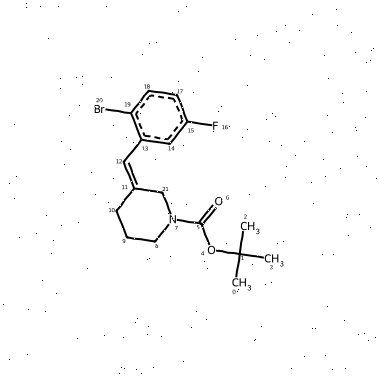 CC(C)(C)OC(=O)N1CCCC(=Cc2cc(F)ccc2Br)C1